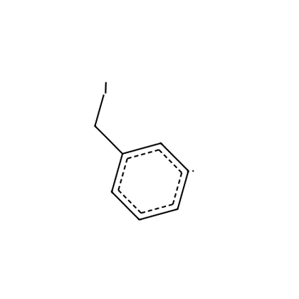 ICc1c[c]ccc1